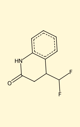 O=C1CC(C(F)F)c2ccccc2N1